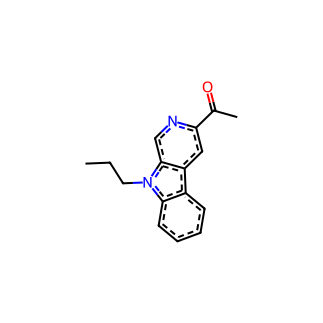 CCCn1c2ccccc2c2cc(C(C)=O)ncc21